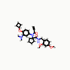 C#CC(=O)N(c1ccc(OC2CCC2)c(N(C)C)c1)C1(C(=O)NCc2ccc(OC)cc2OC)CCCC1